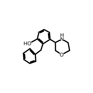 Oc1[c]ccc(C2COCCN2)c1Cc1ccccc1